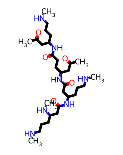 CNCCCC(CC(=O)NC(CCCNC)CC(=O)NC(CCC(=O)NC(CCCNC)CC(C)=O)CC(C)=O)NC